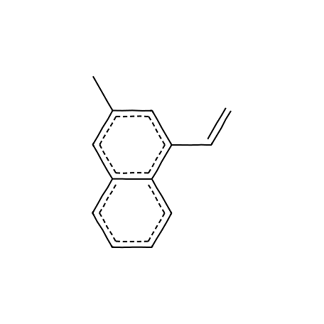 C=Cc1cc(C)cc2ccccc12